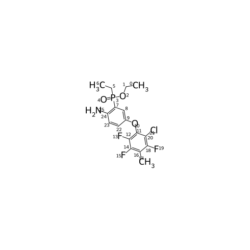 CCOP(=O)(CC)c1cc(Oc2c(F)c(F)c(C)c(F)c2Cl)ccc1N